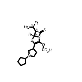 CC[C@H](O)[C@H]1C(=S)N2C(OC(=O)O)=C(C3CCN(C4CCCC4)C3)S[C@H]12